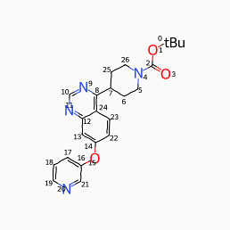 CC(C)(C)OC(=O)N1CCC(c2ncnc3cc(Oc4cccnc4)ccc23)CC1